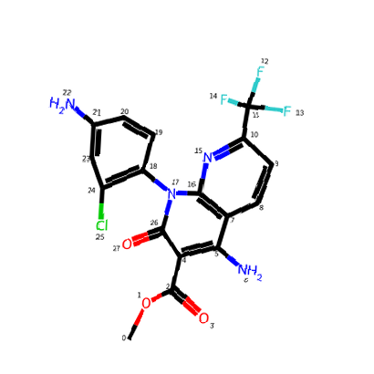 COC(=O)c1c(N)c2ccc(C(F)(F)F)nc2n(-c2ccc(N)cc2Cl)c1=O